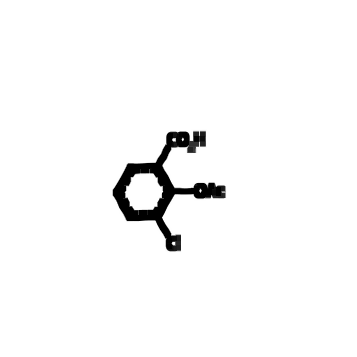 CC(=O)Oc1c(Cl)cccc1C(=O)O